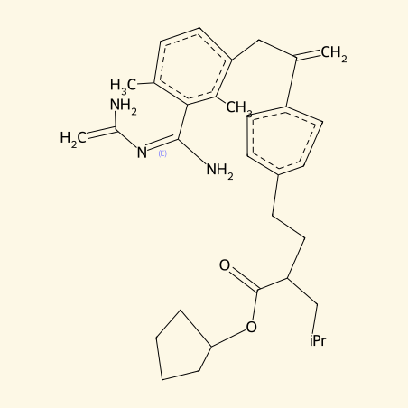 C=C(N)/N=C(/N)c1c(C)ccc(CC(=C)c2ccc(CCC(CC(C)C)C(=O)OC3CCCC3)cc2)c1C